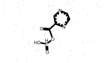 O=C(O[PH](=O)O)c1cnccn1